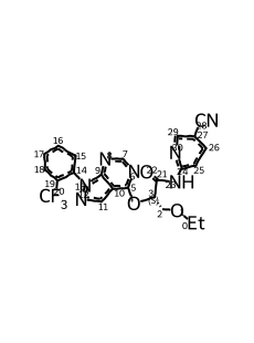 CCOC[C@H](Oc1ncnc2c1cnn2-c1ccccc1C(F)(F)F)C(=O)Nc1ccc(C#N)cn1